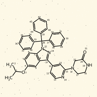 CC(C)Oc1ccc2c(c1)c(-c1ccnc(N3CCNC(=O)C3)c1)nn2C(c1ccccc1)(c1ccccc1)c1ccccc1